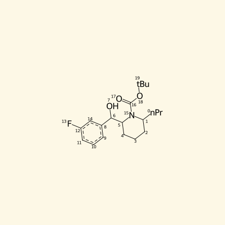 CCCC1CCCC(C(O)c2cccc(F)c2)N1C(=O)OC(C)(C)C